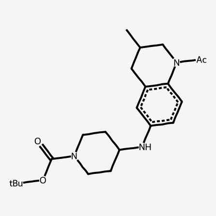 CC(=O)N1CC(C)Cc2cc(NC3CCN(C(=O)OC(C)(C)C)CC3)ccc21